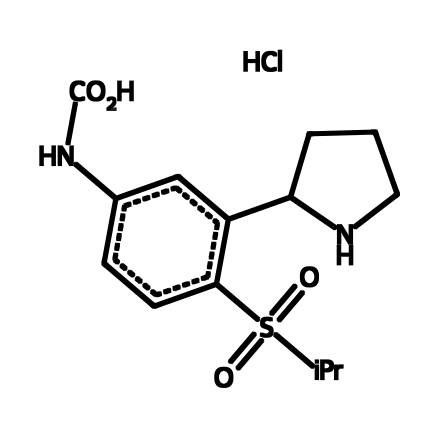 CC(C)S(=O)(=O)c1ccc(NC(=O)O)cc1C1CCCN1.Cl